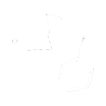 O=CC(c1ccccc1F)C1CC1